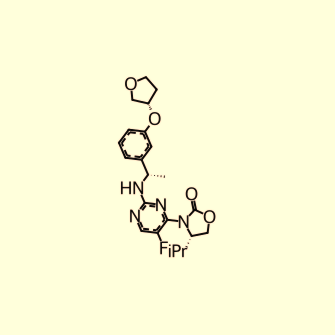 CC(C)[C@H]1COC(=O)N1c1nc(N[C@@H](C)c2cccc(O[C@H]3CCOC3)c2)ncc1F